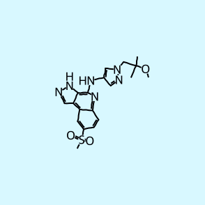 COC(C)(C)Cn1cc(Nc2nc3ccc(S(C)(=O)=O)cc3c3cn[nH]c23)cn1